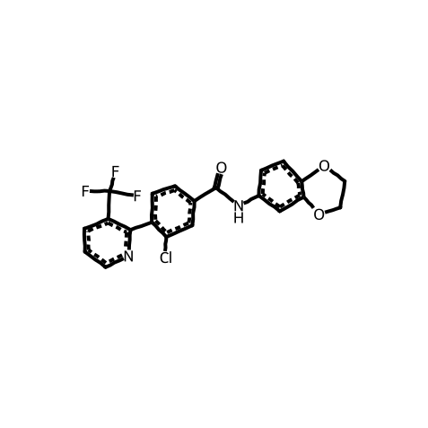 O=C(Nc1ccc2c(c1)OCCO2)c1ccc(-c2ncccc2C(F)(F)F)c(Cl)c1